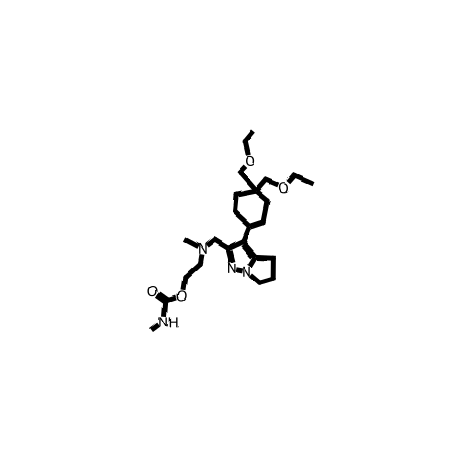 CCOCC1(COCC)CCC(c2c(CN(C)CCOC(=O)NC)nn3c2CCC3)CC1